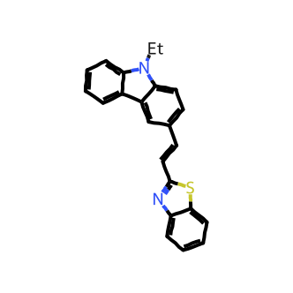 CCn1c2ccccc2c2cc(C=Cc3nc4ccccc4s3)ccc21